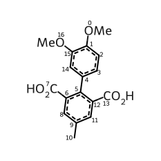 COc1ccc(-c2c(C(=O)O)cc(C)cc2C(=O)O)cc1OC